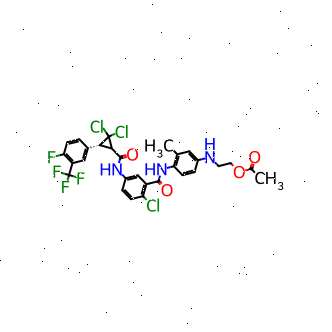 CC(=O)OCCNc1ccc(NC(=O)c2cc(NC(=O)C3[C@H](c4ccc(F)c(C(F)(F)F)c4)C3(Cl)Cl)ccc2Cl)c(C)c1